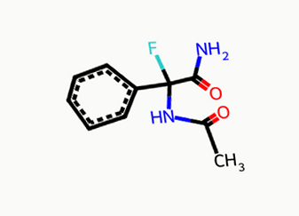 CC(=O)NC(F)(C(N)=O)c1ccccc1